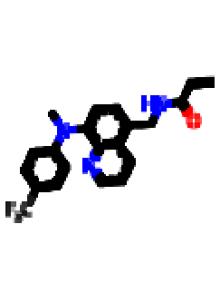 C=CC(=O)NCc1ccc(N(C)c2ccc(C(F)(F)F)cc2)c2ncccc12